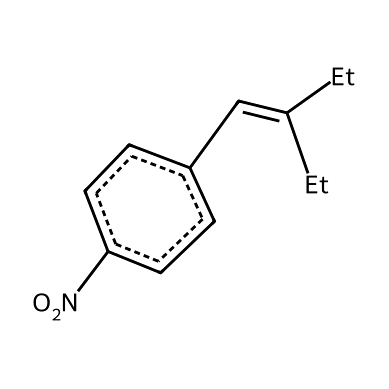 CCC(=Cc1ccc([N+](=O)[O-])cc1)CC